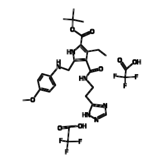 CCc1c(C(=O)OC(C)(C)C)[nH]c(CNc2ccc(OC)cc2)c1C(=O)NCCc1ncn[nH]1.O=C(O)C(F)(F)F.O=C(O)C(F)(F)F